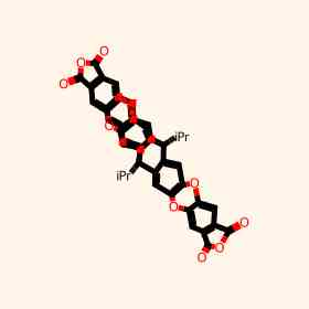 CC(C)C12c3cc4ccccc4cc3C(C(C)C)(c3cc4oc5cc6c(=O)oc(=O)c6cc5oc4cc31)c1cc3oc4cc5c(=O)oc(=O)c5cc4oc3cc12